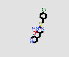 O=c1[nH]c(SCc2ccc(Cl)cc2)ncc1Cc1ccncc1